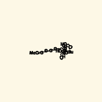 COCCOCCOCCOCCOC/C=C/C[C@H](C[C@H](O)[C@H](Cc1ccccc1)NC(=O)OC(C)(C)C)C(=O)N[C@H]1c2ccccc2C[C@H]1O